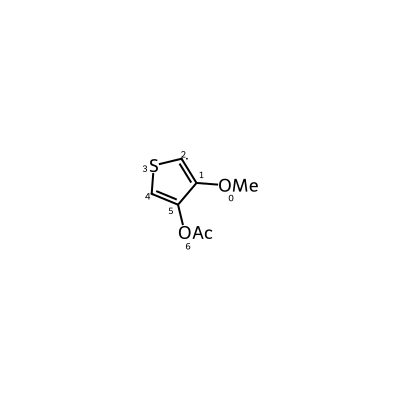 COc1[c]scc1OC(C)=O